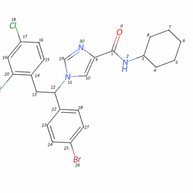 O=C(NC1CCCCC1)c1cn(C(Cc2ccc(Cl)cc2Cl)c2ccc(Br)cc2)cn1